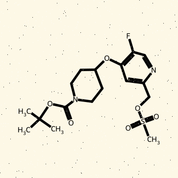 CC(C)(C)OC(=O)N1CCC(Oc2cc(COS(C)(=O)=O)ncc2F)CC1